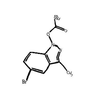 Cc1nn(OC(=O)C(C)(C)C)c2ccc(Br)cc12